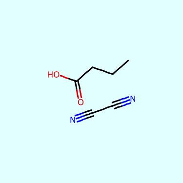 CCCC(=O)O.N#CC#N